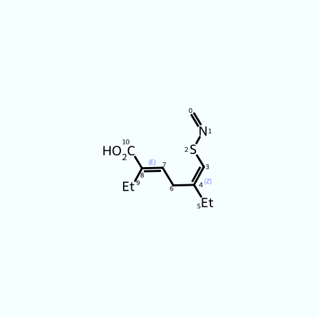 C=NS/C=C(/CC)C/C=C(\CC)C(=O)O